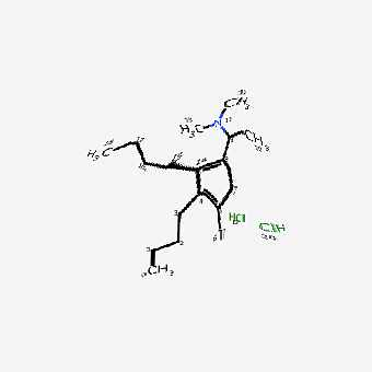 CCCCC1=[C]([Ti])CC(C(C)N(C)C)=C1CCCC.Cl.Cl